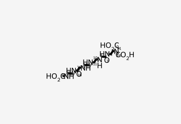 O=C(O)CN(CCNC(=O)CNCCNCCNCC(=O)NCCNC(=O)O)C(=O)O